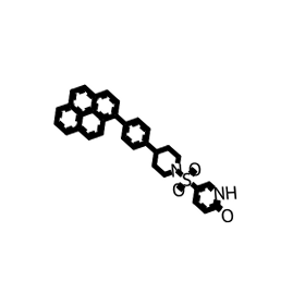 O=c1ccc(S(=O)(=O)N2CCC(c3ccc(-c4ccc5ccc6cccc7ccc4c5c67)cc3)CC2)c[nH]1